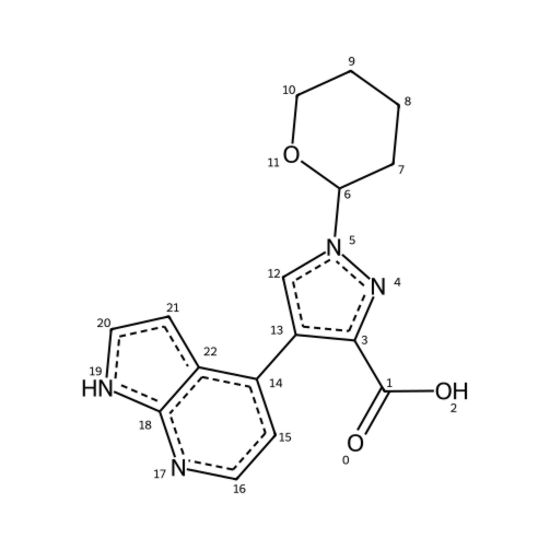 O=C(O)c1nn(C2CCCCO2)cc1-c1ccnc2[nH]ccc12